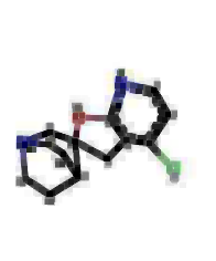 Clc1ccnc2c1CC1(CN3CCC1CC3)O2